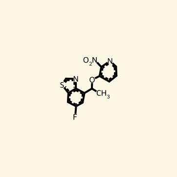 CC(Oc1cccnc1[N+](=O)[O-])c1cc(F)cc2scnc12